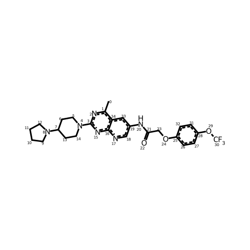 Cc1nc(N2CCC(N3CCCC3)CC2)nc2ncc(NC(=O)COc3ccc(OC(F)(F)F)cc3)cc12